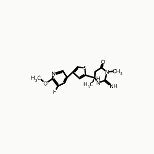 COc1ncc(-c2csc([C@]3(C)CC(=O)N(C)C(=N)N3)c2)cc1F